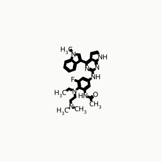 CCN(CCN(C)C)c1c(F)cc(Nc2nc(-c3cn(C)c4ccccc34)c3cc[nH]c3n2)cc1NC(C)=O